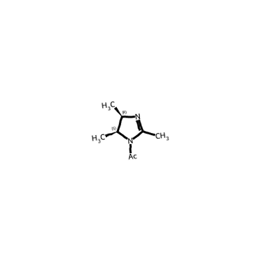 CC(=O)N1C(C)=N[C@H](C)[C@@H]1C